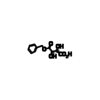 O=C(O)[C@H](O)[C@@H](O)C(=O)OCc1ccccc1